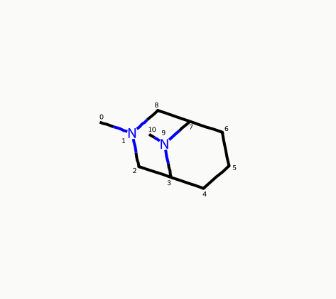 CN1CC2CCCC(C1)N2C